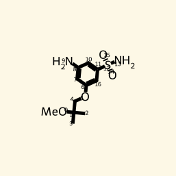 COC(C)(C)COc1cc(N)cc(S(N)(=O)=O)c1